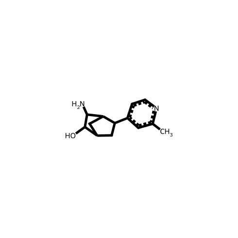 Cc1cc(C2CC3CC2C(N)C3O)ccn1